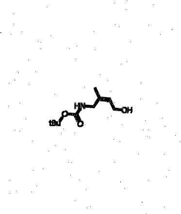 C/C(=C/CO)CNC(=O)OC(C)(C)C